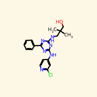 CC(C)(CO)CNc1nc(Nc2ccnc(Cl)c2)nc(-c2ccccc2)n1